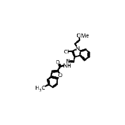 COCCn1c(Cl)c(C=NNC(=O)c2cc3cc(C)ccc3o2)c2ccccc21